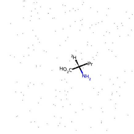 [2H][C@@](N)(C(=O)O)C(C)C